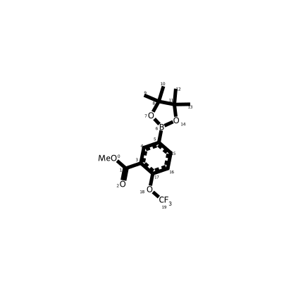 COC(=O)c1cc(B2OC(C)(C)C(C)(C)O2)ccc1OC(F)(F)F